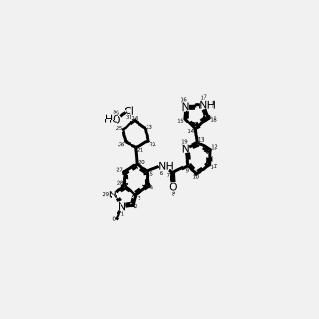 Cn1cc2cc(NC(=O)c3cccc(-c4cn[nH]c4)n3)c(C3CCCCC3)cc2n1.OCl